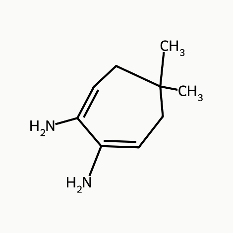 CC1(C)CC=C(N)C(N)=CC1